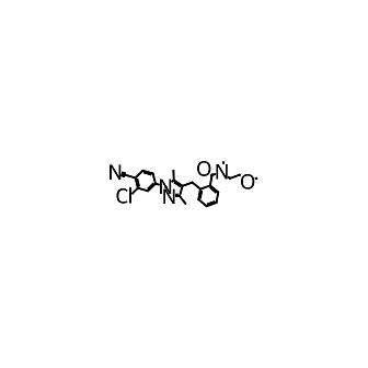 COCCN(C)C(=O)c1ccccc1Cc1c(C)nn(-c2ccc(C#N)c(Cl)c2)c1C